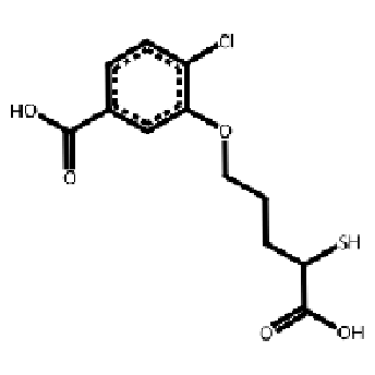 O=C(O)c1ccc(Cl)c(OCCCC(S)C(=O)O)c1